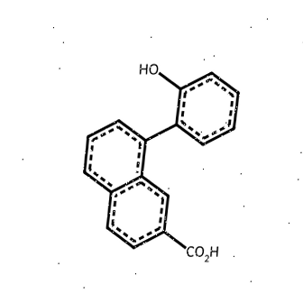 O=C(O)c1ccc2cccc(-c3ccccc3O)c2c1